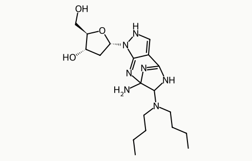 CCCCN(CCCC)C1NC2=NC1(N)N=C1C2=CNN1[C@@H]1C[C@H](O)[C@@H](CO)O1